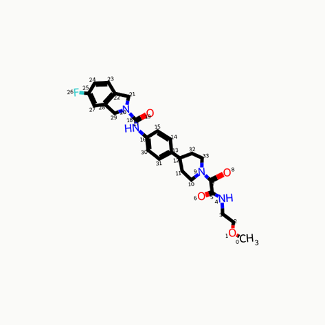 COCCNC(=O)C(=O)N1CCC(c2ccc(NC(=O)N3Cc4ccc(F)cc4C3)cc2)CC1